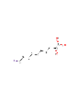 O=C(O)C(=O)CCCCCCCCI